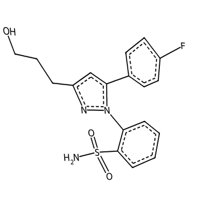 NS(=O)(=O)c1ccccc1-n1nc(CCCO)cc1-c1ccc(F)cc1